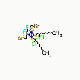 CCCCCCCCc1cc(-c2nc3c(-c4ccc(Br)s4)c(F)c(F)c(-c4ccc(Br)s4)c3nc2-c2cc(CCCCCCCC)c(Cl)s2)sc1Cl